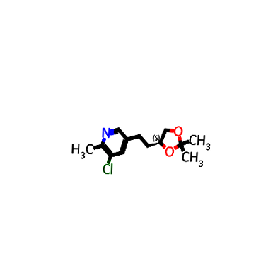 Cc1ncc(CC[C@H]2COC(C)(C)O2)cc1Cl